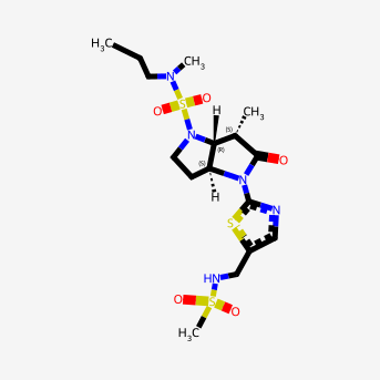 CCCN(C)S(=O)(=O)N1CC[C@H]2[C@H]1[C@H](C)C(=O)N2c1ncc(CNS(C)(=O)=O)s1